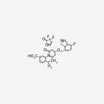 Cc1ccc(C(=O)O)cc1-n1c(C)cc(OCc2ccc(F)cc2CN)cc1=O.O=C(O)C(F)(F)F